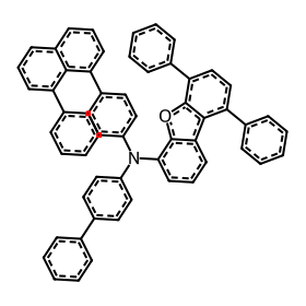 c1ccc(-c2ccc(N(c3ccc(-c4cccc5cccc(-c6ccccc6)c45)cc3)c3cccc4c3oc3c(-c5ccccc5)ccc(-c5ccccc5)c34)cc2)cc1